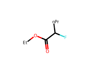 CCCC(F)C(=O)OCC